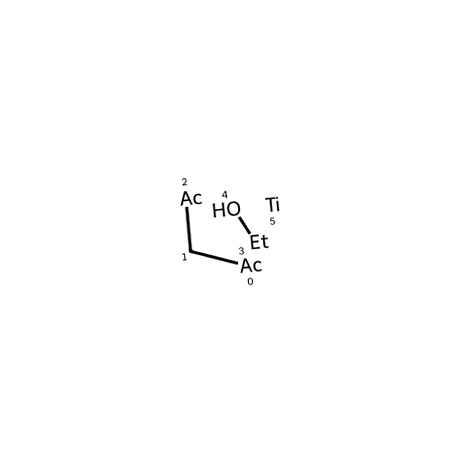 CC(=O)CC(C)=O.CCO.[Ti]